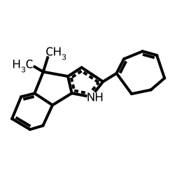 CC1(C)C2=CC=CCC2c2[nH]c(C3=CC=CCCC3)cc21